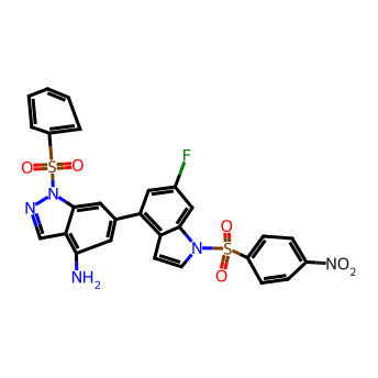 Nc1cc(-c2cc(F)cc3c2ccn3S(=O)(=O)c2ccc([N+](=O)[O-])cc2)cc2c1cnn2S(=O)(=O)c1ccccc1